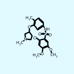 COc1cc(Cl)c(S(=O)(=O)Nc2ccc(C)c(OC3CCN(C)C3)c2)cc1OC